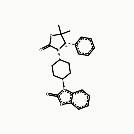 CC1(C)OC(=O)N([C@H]2CC[C@H](n3c(=O)oc4ccccc43)CC2)[C@H]1c1ccccc1